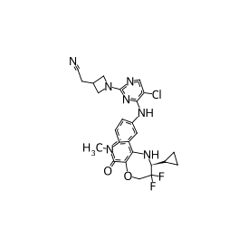 Cn1c(=O)c2c(c3cc(Nc4nc(N5CC(CC#N)C5)ncc4Cl)ccc31)N[C@@H](C1CC1)C(F)(F)CO2